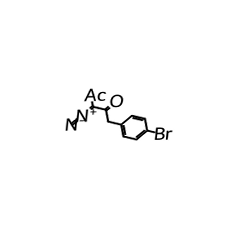 CC(=O)C(=[N+]=[N-])C(=O)Cc1ccc(Br)cc1